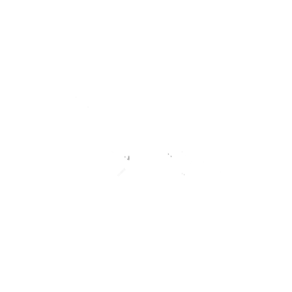 O=C(NC(=O)c1cccc(-c2noc(-c3ccccc3F)n2)c1)OCCc1ccccc1